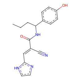 CCCC(NC(=O)C(C#N)=Cc1ncc[nH]1)c1ccc(O)cc1